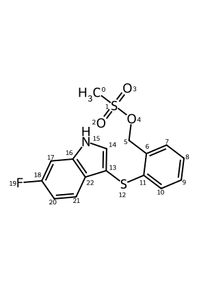 CS(=O)(=O)OCc1ccccc1Sc1c[nH]c2cc(F)ccc12